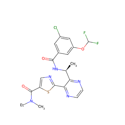 CCN(C)C(=O)c1cnc(-c2nccnc2[C@H](C)NC(=O)c2cc(Cl)cc(OC(F)F)c2)s1